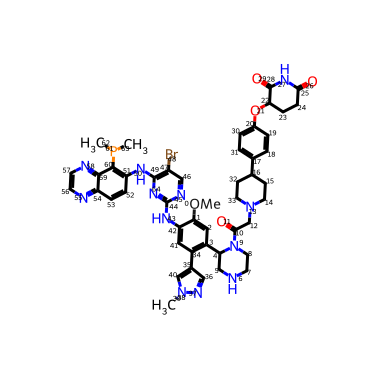 COc1cc(C2CNCCN2C(=O)CN2CCC(c3ccc(OC4CCC(=O)NC4=O)cc3)CC2)c(-c2cnn(C)c2)cc1Nc1ncc(Br)c(Nc2ccc3nccnc3c2P(C)C)n1